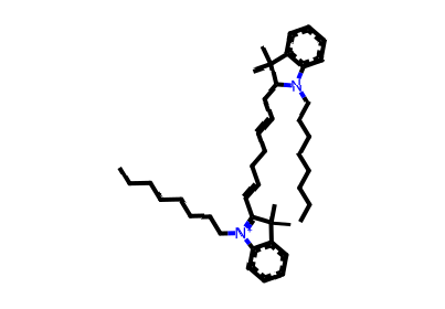 CCCCCCCCN1c2ccccc2C(C)(C)C1CC=CCCC=CC1=[N+](CCCCCCCC)c2ccccc2C1(C)C